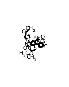 C=CC(=O)N1CCN(c2nc(=O)n3c4c(c(-c5ccc(F)c6sc(=O)[nH]c56)c(C(F)(F)F)cc24)SCC(OC(C)C)C3)CC1